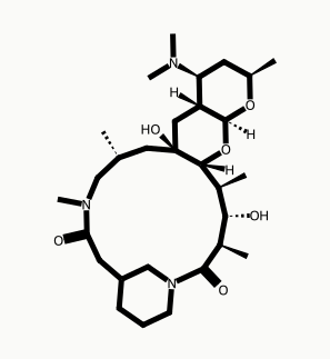 C[C@H]1CN(C)C(=O)CC2CCCN(C2)C(=O)[C@H](C)[C@@H](O)[C@H](C)[C@H]2O[C@@H]3O[C@H](C)C[C@H](N(C)C)[C@H]3C[C@@]2(O)C1